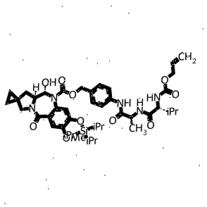 C=CCOC(=O)N[C@@H](C(=O)N[C@@H](C)C(=O)Nc1ccc(COC(=O)N2c3cc(O[Si](C(C)C)(C(C)C)C(C)C)c(OC)cc3C(=O)N3CC4(CC4)C[C@H]3[C@@H]2O)cc1)C(C)C